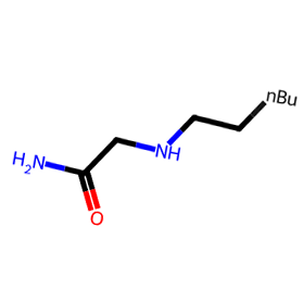 CCCCCCNCC(N)=O